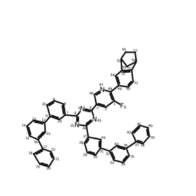 Fc1cc(-c2nc(-c3cccc(-c4cccc(-c5ccccc5)c4)c3)nc(-c3cccc(-c4cccc(-c5ccccc5)c4)c3)n2)cnc1-c1ccc2c(c1)C1CCC2C1